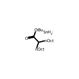 CCCCCCCCC(CCCCCCCC)C(=O)OCC(C)C.[SnH2]